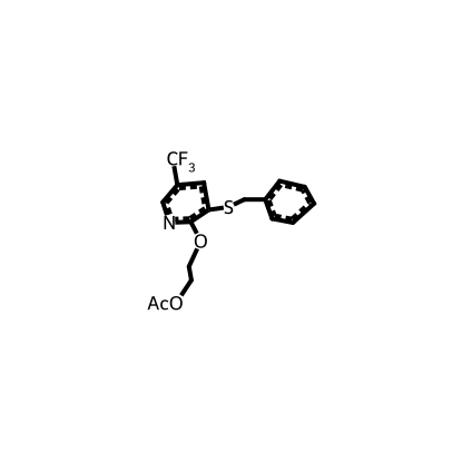 CC(=O)OCCOc1ncc(C(F)(F)F)cc1SCc1ccccc1